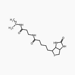 C[SH](C)NC(=O)CCNC(=O)CCCCC1SCC2NC(=O)NC21